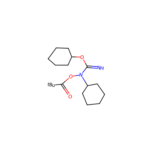 CC(C)(C)C(=O)ON(C(=N)OC1CCCCC1)C1CCCCC1